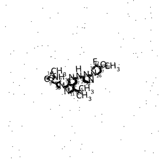 CC[S@@](=N)(=O)CC1CN(c2ncc(C(C)C)c3cc(Nc4ccnc(N5CC[C@@H](OC)[C@@H](F)C5)n4)ncc23)C1